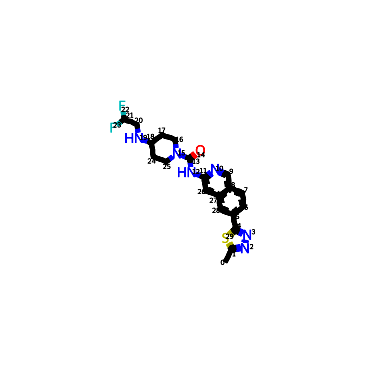 Cc1nnc(-c2ccc3cnc(NC(=O)N4CCC(NCC(F)F)CC4)cc3c2)s1